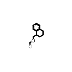 ClCOCC1CCCc2ccccc21